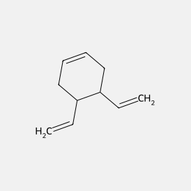 C=CC1CC=CCC1C=C